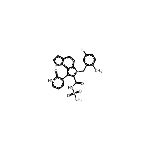 Cc1ccc(F)cc1Cn1c(C(=O)NS(C)(=O)=O)c(-c2ccc[nH]c2=O)c2c3sccc3ccc21